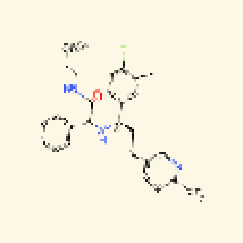 COCCNC(=O)C(N[C@H](CCc1ccc(C(F)(F)F)nc1)c1ccc(F)c(C)c1)c1ccccc1